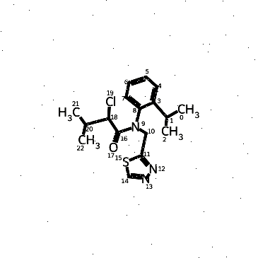 CC(C)c1ccccc1N(Cc1nncs1)C(=O)C(Cl)C(C)C